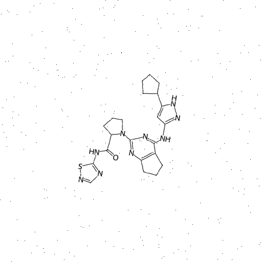 O=C(Nc1ncns1)C1CCCN1c1nc2c(c(Nc3cc(C4CCCC4)[nH]n3)n1)CCC2